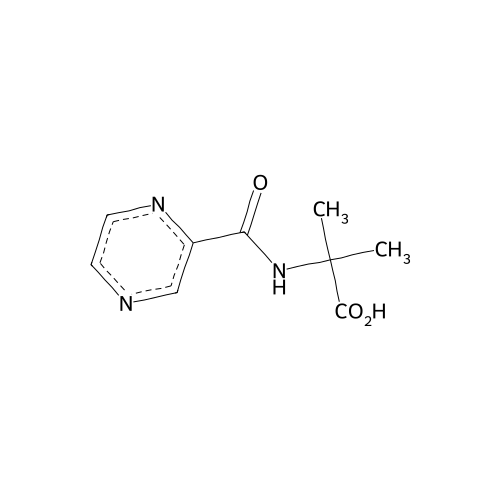 CC(C)(NC(=O)c1cnccn1)C(=O)O